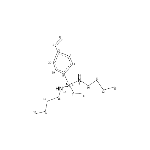 C=Cc1ccc([Si](CC)(NCCCC)NCCCC)cc1